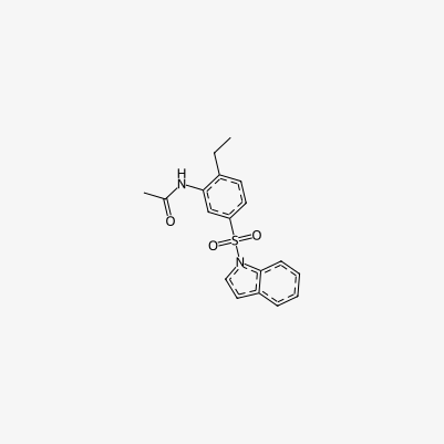 CCc1ccc(S(=O)(=O)n2ccc3ccccc32)cc1NC(C)=O